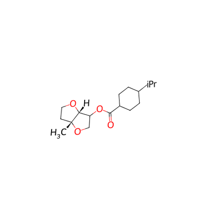 CC(C)C1CCC(C(=O)OC2CO[C@]3(C)CCO[C@H]23)CC1